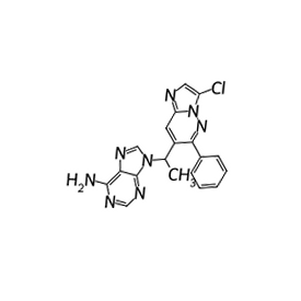 CC(c1cc2ncc(Cl)n2nc1-c1ccccc1)n1cnc2c(N)ncnc21